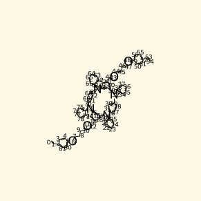 C=Cc1ccc(OCCCCOCc2cc3cc(c2)n(-c2ccccc2)c2ccc(cc2)n(-c2ccccc2)c2cc(COCCCCOc4ccc(C=C)cc4)cc(c2)n(-c2ccccc2)c2ccc(cc2)n3-c2ccccc2)cc1